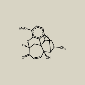 COc1ccc2c3c1O[C@@H]1C[C@]34C(C)CN(C)C(C2)[C@]4(O)C=CC1=O